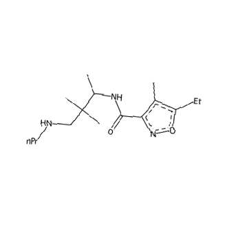 CCCNCC(C)(C)C(C)NC(=O)c1noc(CC)c1C